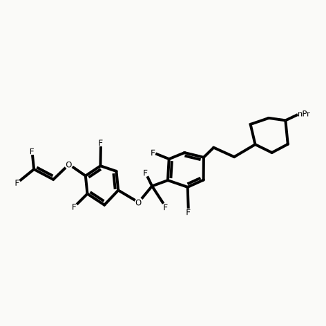 CCCC1CCC(CCc2cc(F)c(C(F)(F)Oc3cc(F)c(OC=C(F)F)c(F)c3)c(F)c2)CC1